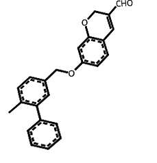 Cc1ccc(COc2ccc3c(c2)OCC(C=O)=C3)cc1-c1ccccc1